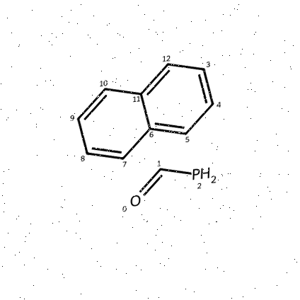 O=CP.c1ccc2ccccc2c1